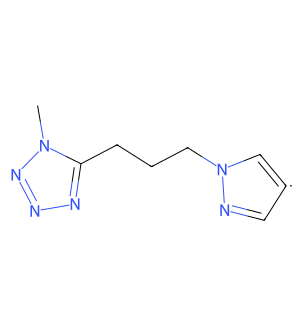 Cn1nnnc1CCCn1c[c]cn1